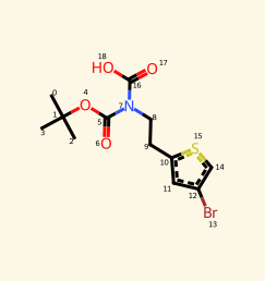 CC(C)(C)OC(=O)N(CCc1cc(Br)cs1)C(=O)O